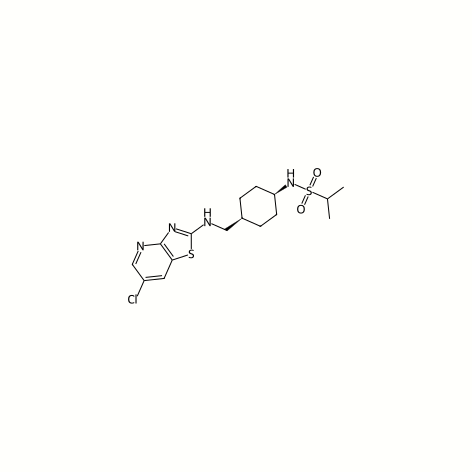 CC(C)S(=O)(=O)N[C@H]1CC[C@@H](CNc2nc3ncc(Cl)cc3s2)CC1